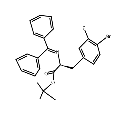 CC(C)(C)OC(=O)[C@H](Cc1ccc(Br)c(F)c1)N=C(c1ccccc1)c1ccccc1